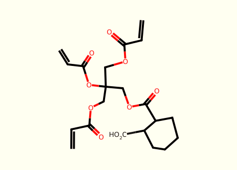 C=CC(=O)OCC(COC(=O)C=C)(COC(=O)C1CCCCC1C(=O)O)OC(=O)C=C